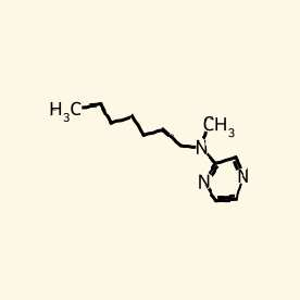 CCCCCCCN(C)c1cnccn1